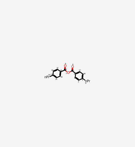 CCCc1ccc(C(=O)OC(=O)c2ccc(CCC)cc2)cc1